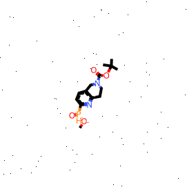 CO[PH](=O)c1ccc2c(n1)CCN(C(=O)OC(C)(C)C)C2